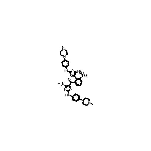 CN1CCN(c2ccc(Nc3nc(N)c(C(=O)c4cccc([N+](=O)[O-])c4-c4sc(Nc5ccc(N6CCN(C)CC6)cc5)nc4N)s3)cc2)CC1